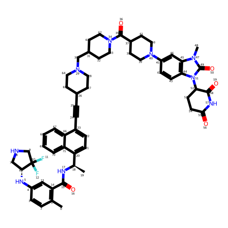 Cc1ccc(N[C@@H]2CNCC2(F)F)cc1C(=O)N[C@H](C)c1ccc(C#CC2CCN(CC3CCN(C(=O)C4CCN(c5ccc6c(c5)n(C)c(=O)n6C5CCC(=O)NC5=O)CC4)CC3)CC2)c2ccccc12